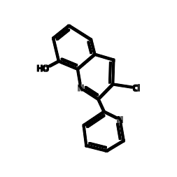 Oc1cccc2cc(Cl)c(-c3ccccn3)nc12